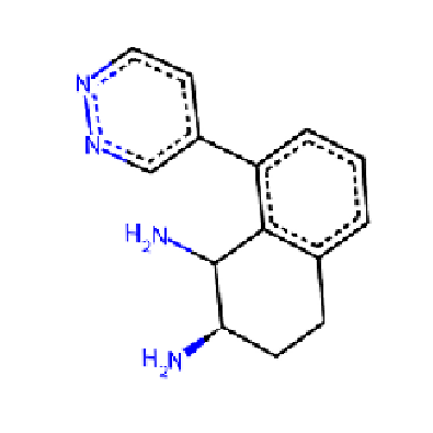 NC1c2c(cccc2-c2ccnnc2)CC[C@H]1N